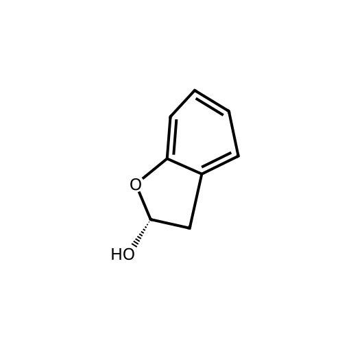 O[C@H]1Cc2ccccc2O1